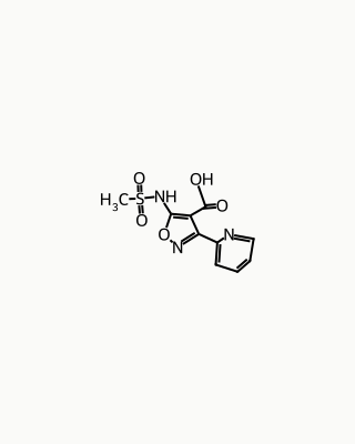 CS(=O)(=O)Nc1onc(-c2ccccn2)c1C(=O)O